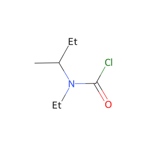 CCC(C)N(CC)C(=O)Cl